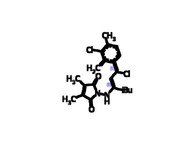 C=c1c(Cl)c(C)cc/c1=C(Cl)/C=C(/NN1C(=O)C(C)=C(C)C1=O)C(C)CC